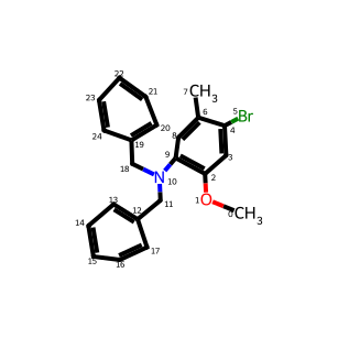 COc1cc(Br)c(C)cc1N(Cc1ccccc1)Cc1ccccc1